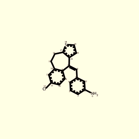 Nc1cccc(/C=C2\c3ccc(Cl)cc3CCc3sccc32)c1